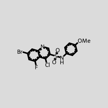 COc1ccc(NS(=O)(=O)c2cnc3cc(Br)cc(F)c3c2Cl)cc1